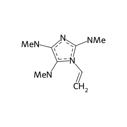 C=Cn1c(NC)nc(NC)c1NC